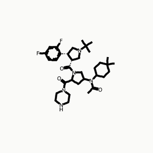 CC(=O)N(C1CCC(C)(C)CC1)C1CC(C(=O)N2CCNCC2)N(C(=O)[C@H]2CN(C(C)(C)C)C[C@H]2c2ccc(F)cc2F)C1